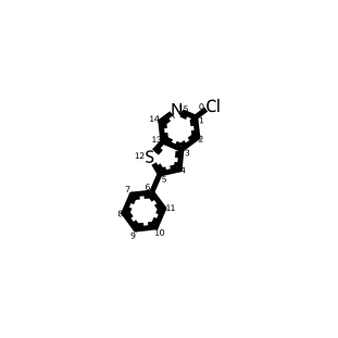 Clc1cc2cc(-c3ccccc3)sc2cn1